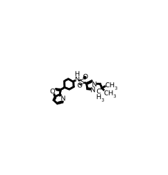 CC(C)(C)Cn1cc(S(=O)(=O)NC2CCC(c3coc4cccnc34)CC2)cn1